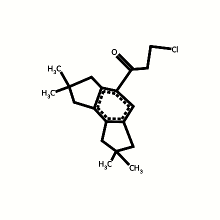 CC1(C)Cc2cc(C(=O)CCCl)c3c(c2C1)CC(C)(C)C3